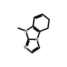 Cn1c2c(n3ccnc13)CCC=C2